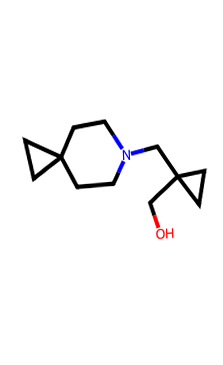 OCC1(CN2CCC3(CC2)CC3)CC1